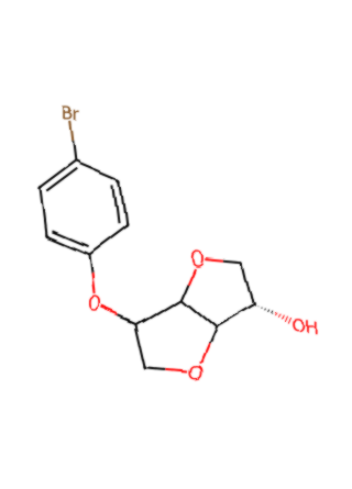 O[C@H]1COC2C(Oc3ccc(Br)cc3)COC21